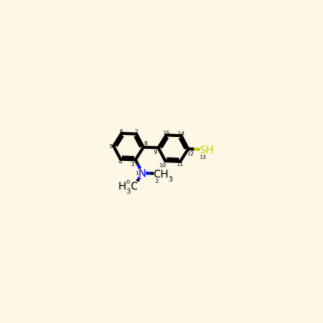 CN(C)c1ccccc1-c1ccc(S)cc1